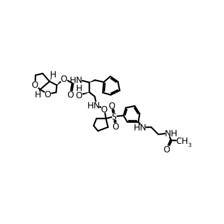 CC(=O)NCCNc1cccc(S(=O)(=O)C2(ONC[C@@H](O)[C@H](Cc3ccccc3)NC(=O)O[C@H]3CO[C@H]4OCC[C@H]43)CCCC2)c1